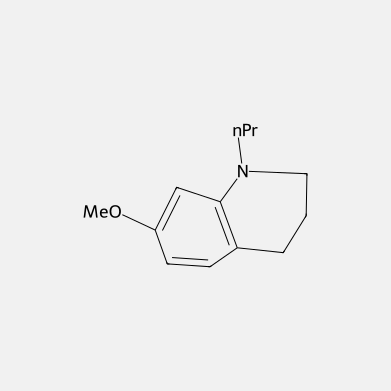 CCCN1CCCc2ccc(OC)cc21